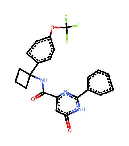 O=C(NC1(c2ccc(OC(F)(F)F)cc2)CCC1)c1cc(=O)[nH]c(-c2ccccc2)n1